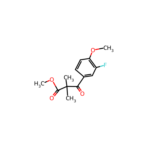 COC(=O)C(C)(C)C(=O)c1ccc(OC)c(F)c1